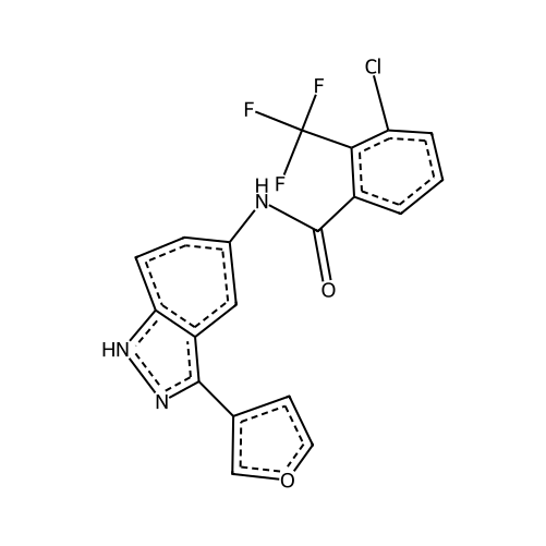 O=C(Nc1ccc2[nH]nc(-c3ccoc3)c2c1)c1cccc(Cl)c1C(F)(F)F